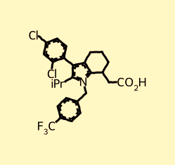 CC(C)c1c(-c2ccc(Cl)cc2Cl)c2c(n1Cc1ccc(C(F)(F)F)cc1)C(CC(=O)O)CCC2